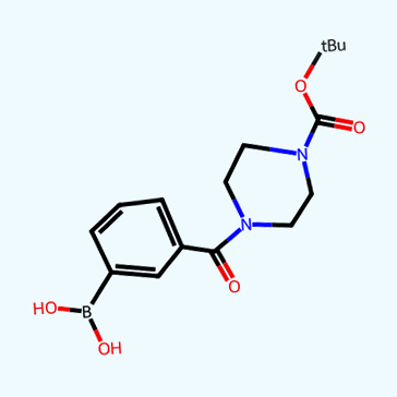 CC(C)(C)OC(=O)N1CCN(C(=O)c2cccc(B(O)O)c2)CC1